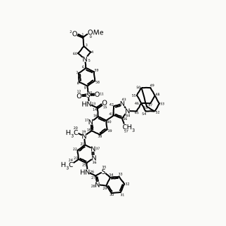 COC(=O)C1CN(c2ccc(S(=O)(=O)NC(=O)c3nc(N(C)c4cc(C)c(Nc5nc6ccccc6s5)nn4)ccc3-c3cnn(CC45CC6CC(CC(C6)C4)C5)c3C)cc2)C1